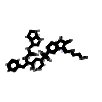 COCCN/C=C1\C(=O)Nc2ccc(S(=O)(=O)N(CC(C)C)CC(O)C(Cc3ccccc3)NC(=O)OC3COC4OCCC34)cc21